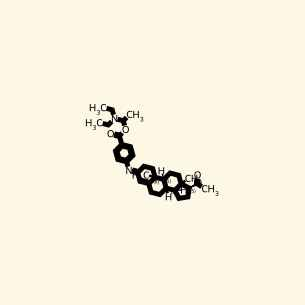 CCN(CC)C(C)OC(=O)c1ccc(N=C2C=C3CC[C@H]4[C@@H]5CC[C@H](C(C)=O)[C@@]5(C)CC[C@@H]4[C@@]3(C)CC2)cc1